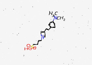 CCN(C)c1ccc(C=CC2=CCN(CCCCS(=O)(=O)O)C=C2)cc1